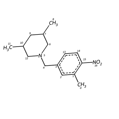 Cc1cc(CN2CC(C)CC(C)C2)ccc1[N+](=O)[O-]